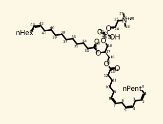 CCCCC/C=C\C/C=C\C/C=C\CCCCC(=O)OC[C@H](COP(=O)(O)OCC[N+](C)(C)C)OC(=O)CCCCCCCCC/C=C\CCCCCC